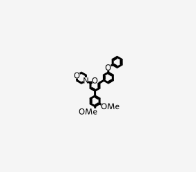 COc1ccc(C(C=Cc2cccc(Oc3ccccc3)c2)=CC(=O)N2CCOCC2)cc1OC